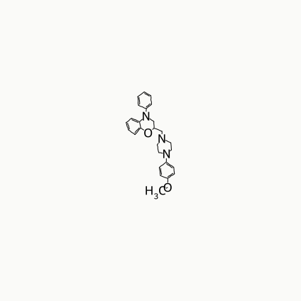 COc1ccc(N2CCN(CC3CN(c4ccccc4)c4ccccc4O3)CC2)cc1